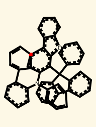 C1=C=C(N(c2ccccc2C2=CC=CCC2)c2ccc3c(oc4ccccc43)c2C2(c3ccccc3)c3ccccc3-c3ccccc32)C=CC=1